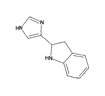 c1ccc2c(c1)CC(c1c[nH]cn1)N2